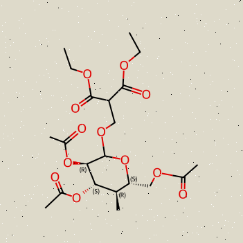 CCOC(=O)C(COC1O[C@H](COC(C)=O)[C@@H](C)[C@H](OC(C)=O)[C@H]1OC(C)=O)C(=O)OCC